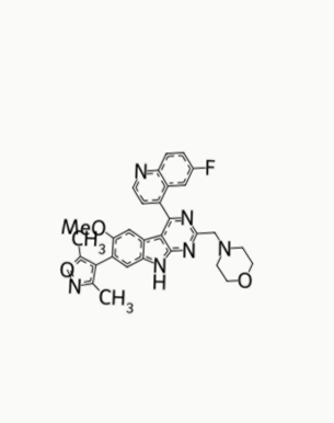 COc1cc2c(cc1-c1c(C)noc1C)[nH]c1nc(CN3CCOCC3)nc(-c3ccnc4ccc(F)cc34)c12